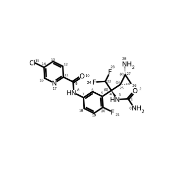 NC(=O)N[C@@](c1cc(NC(=O)c2ccc(Cl)cn2)ccc1F)(C(F)F)[C@H]1C[C@H]1N